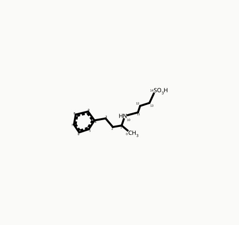 CC(CCc1ccccc1)NCCCS(=O)(=O)O